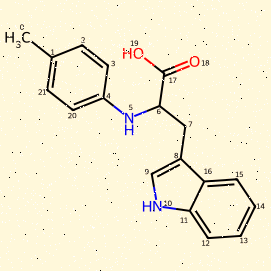 Cc1ccc(NC(Cc2c[nH]c3ccccc23)C(=O)O)cc1